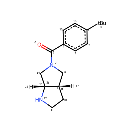 CC(C)(C)c1ccc(C(=O)N2C[C@@H]3CCN[C@@H]3C2)cc1